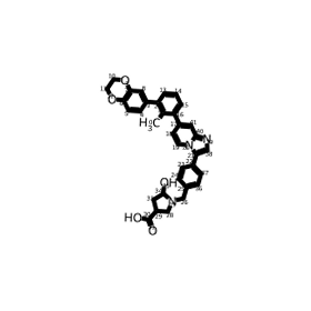 Cc1c(-c2ccc3c(c2)OCCO3)cccc1-c1ccn2c(-c3ccc(CN4CC(C(=O)O)CC4O)cc3)cnc2c1